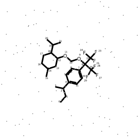 CCC(C)c1ccc(C(OCOC2CC(C)CCC2C(C)C)(C(F)(F)F)C(F)(F)F)cc1